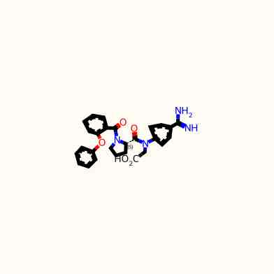 N=C(N)c1ccc(N(CC(=O)O)C(=O)[C@@H]2CCCN2C(=O)c2ccccc2Oc2ccccc2)cc1